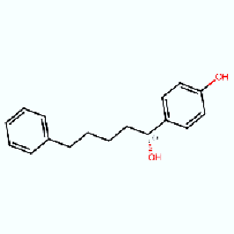 Oc1ccc([C@H](O)CCCCc2ccccc2)cc1